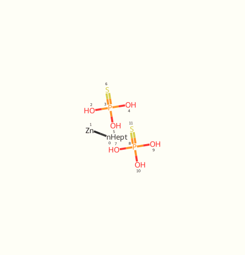 CCCCCC[CH2][Zn].OP(O)(O)=S.OP(O)(O)=S